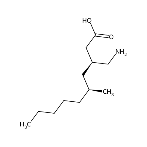 CCCCC[C@H](C)C[C@H](CN)CC(=O)O